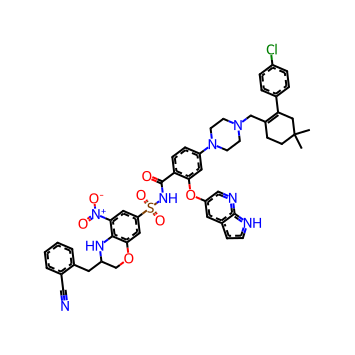 CC1(C)CCC(CN2CCN(c3ccc(C(=O)NS(=O)(=O)c4cc5c(c([N+](=O)[O-])c4)NC(Cc4ccccc4C#N)CO5)c(Oc4cnc5[nH]ccc5c4)c3)CC2)=C(c2ccc(Cl)cc2)C1